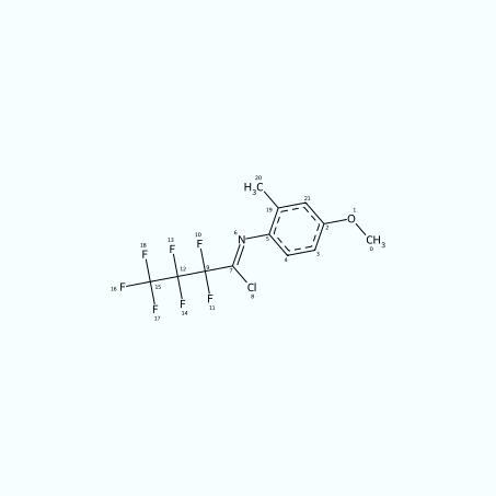 COc1ccc(N=C(Cl)C(F)(F)C(F)(F)C(F)(F)F)c(C)c1